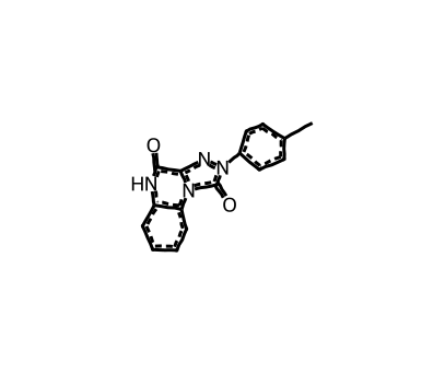 Cc1ccc(-n2nc3c(=O)[nH]c4ccccc4n3c2=O)cc1